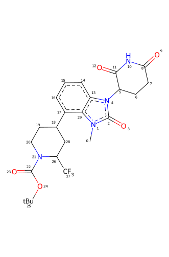 Cn1c(=O)n(C2CCC(=O)NC2=O)c2cccc(C3CCN(C(=O)OC(C)(C)C)C(C(F)(F)F)C3)c21